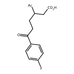 CC(=O)C(CCC(=O)c1ccc(F)cc1)CC(=O)O